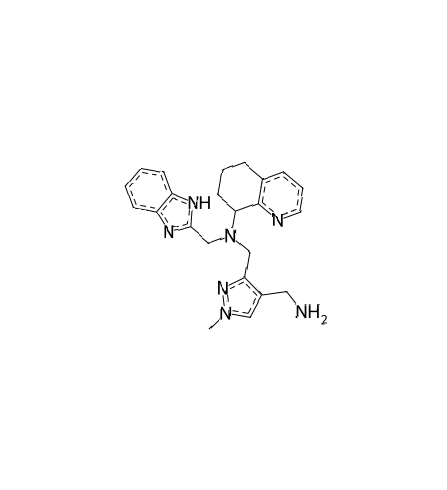 Cn1cc(CN)c(CN(Cc2nc3ccccc3[nH]2)C2CCCc3cccnc32)n1